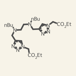 CCCCN(CCN(CCCC)Cc1cn(CC(=O)OCC)nn1)Cc1cn(CC(=O)OCC)nn1